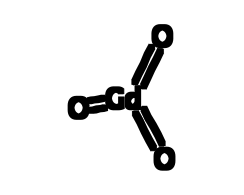 [O]=[Gd](=[O])=[O]